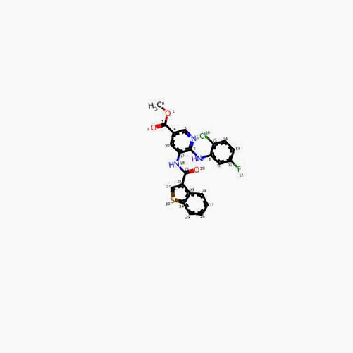 COC(=O)c1cnc(Nc2cc(F)ccc2Cl)c(NC(=O)c2csc3ccccc23)c1